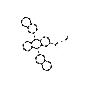 N/C=N\N=C(/N)c1ccc2c(-c3ccc4ccccc4c3)c3ccccc3c(-c3ccc4ccccc4c3)c2c1